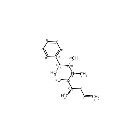 C=CC[C@@H](C)C(=O)N(C)[C@@H](C)[C@H](O)c1ccccc1